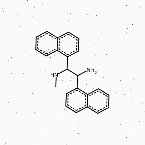 CNC(c1cccc2ccccc12)C(N)c1cccc2ccccc12